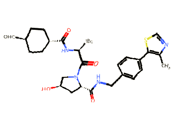 Cc1ncsc1-c1ccc(CNC(=O)[C@@H]2C[C@@H](O)CN2C(=O)[C@@H](NC(=O)[C@H]2CC[C@H](C=O)CC2)C(C)(C)C)cc1